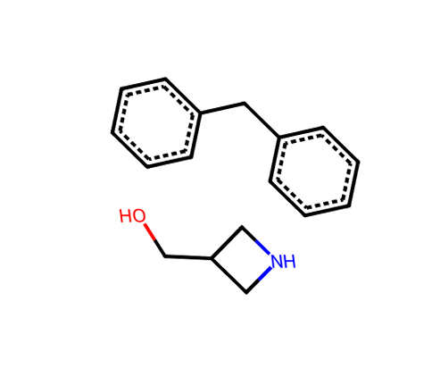 OCC1CNC1.c1ccc(Cc2ccccc2)cc1